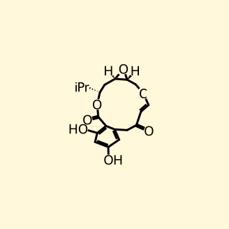 CC(C)[C@@H]1C[C@H]2O[C@@H]2CC/C=C/C(=O)Cc2cc(O)cc(O)c2C(=O)O1